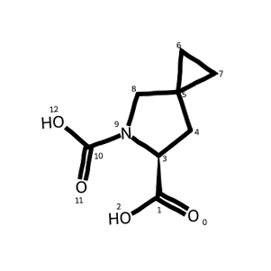 O=C(O)[C@@H]1CC2(CC2)CN1C(=O)O